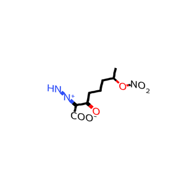 CC(CCCC(=O)C(=[N+]=N)C(=O)[O-])O[N+](=O)[O-]